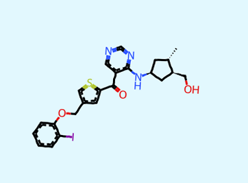 C[C@H]1C[C@H](Nc2ncncc2C(=O)c2cc(COc3ccccc3I)cs2)C[C@@H]1CO